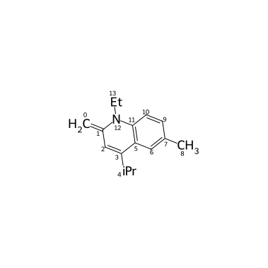 C=C1C=C(C(C)C)c2cc(C)ccc2N1CC